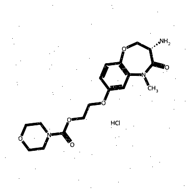 CN1C(=O)[C@@H](N)COc2ccc(OCCOC(=O)N3CCOCC3)cc21.Cl